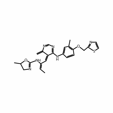 C=c1ncnc(Nc2ccc(OCc3nccs3)c(C)c2)/c1=C/C(=C\C)NC1=NCC(C)O1